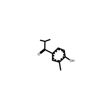 Cc1cc(C(=O)C(C)C)ccc1O